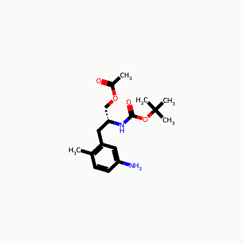 CC(=O)OC[C@@H](Cc1cc(N)ccc1C)NC(=O)OC(C)(C)C